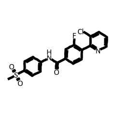 CS(=O)(=O)c1ccc(NC(=O)c2ccc(-c3ncccc3Cl)c(F)c2)cc1